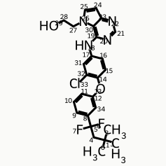 CC(C)(C)CC(F)(F)c1cccc(Oc2ccc(Nc3ncnc4ccn(CCO)c34)cc2Cl)c1